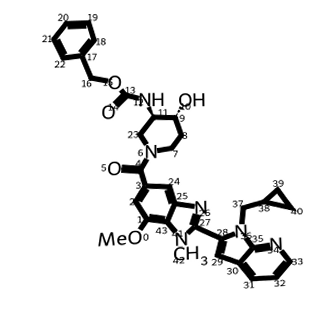 COc1cc(C(=O)N2CC[C@@H](O)[C@H](NC(=O)OCc3ccccc3)C2)cc2nc(-c3cc4cccnc4n3CC3CC3)n(C)c12